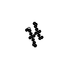 c1ccc2c(-c3ccc(-c4c5ccccc5c(-c5ccc(-c6ccc7c(ccc8ccccc87)c6)cc5)c5ccc(-c6ccc7c(-c8ccc(-c9ccc%10c(ccc%11ccccc%11%10)c9)cc8)c8ccccc8c(-c8ccc(-c9ccc%10oc%11ccccc%11c%10c9)cc8)c7c6)cc45)cc3)cccc2c1